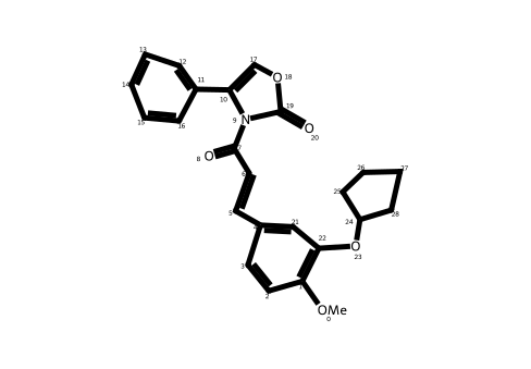 COc1ccc(/C=C/C(=O)n2c(-c3ccccc3)coc2=O)cc1OC1CCCC1